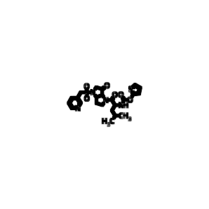 CC(C)CC(NC(=O)Oc1cccs1)C(=O)N1CCC2C1C(=O)CN2S(=O)(=O)Cc1cccnc1